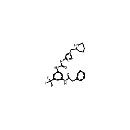 O=C(Cc1ccccc1)Nc1cc(NC(=O)[N-]c2c[n+](CC3CCCCN3)no2)cc(C(F)(F)F)c1